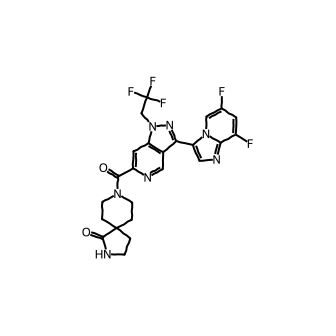 O=C(c1cc2c(cn1)c(-c1cnc3c(F)cc(F)cn13)nn2CC(F)(F)F)N1CCC2(CCNC2=O)CC1